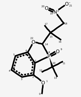 COc1cccc2c1[P@](=O)(C(C)(C)C)C(C(C)(C)C[N+](=O)[O-])O2